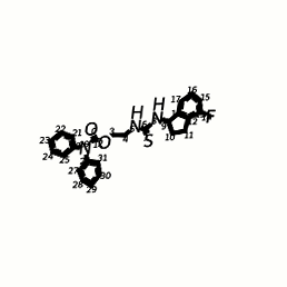 O=C(OCCNC(=S)NC1CCc2c(F)cccc21)N(c1ccccc1)c1ccccc1